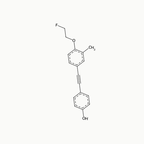 Cc1cc(C#Cc2ccc(O)cc2)ccc1OCCF